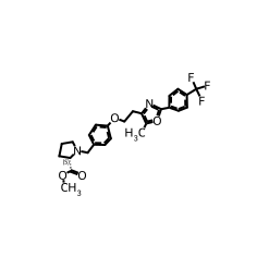 COC(=O)[C@@H]1CCCN1Cc1ccc(OCCc2nc(-c3ccc(C(F)(F)F)cc3)oc2C)cc1